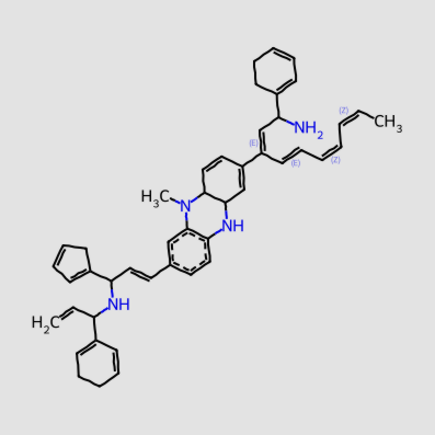 C=CC(NC(C=Cc1ccc2c(c1)N(C)C1C=CC(C(/C=C/C=C\C=C/C)=C/C(N)C3=CC=CCC3)=CC1N2)C1=CC=CC1)C1=CCCC=C1